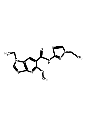 CCn1cnc(NC(=O)c2cc3c(ncn3CC)nc2OC)n1